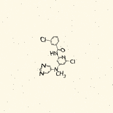 CN(c1cncnc1)c1cc(Cl)nc(NC(=O)c2cccc(Cl)c2)c1